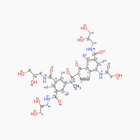 CNC(C(=O)c1c(I)c(NC(=O)CO)c(I)c(C(=O)NCC(O)CO)c1I)C(=O)N(C)c1c(I)c(C(=O)NCC(O)CO)c(I)c(C(=O)NCC(O)CO)c1I